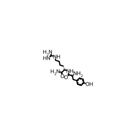 N=C(N)NCCCC[C@H](NC(=O)[C@@H](N)Cc1ccc(O)cc1)C(N)=O